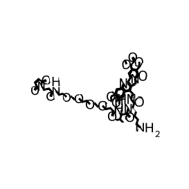 CO[C@@H]1C(=O)OCc2c1cc1n(c2=O)Cc2c-1nc1cc3c(cc1c2CNC(=O)[C@H](CCCCN)NC(=O)[C@@H](NC(=O)CCOCCOCCOCCOCCNC(=O)CCN1C(=O)C=CC1=O)C(C)C)OCO3